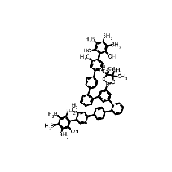 Bc1c(B)c(B)c(-c2cnc(-c3ccc(-c4ccccc4-c4cc(B5OC(C)(C)C(C)(C)O5)cc(-c5ccccc5-c5ccc(-c6cc(C)c(-c7c(O)c(B)c(B)c(B)c7O)cn6)cc5)c4)cc3)cc2C)c(O)c1B